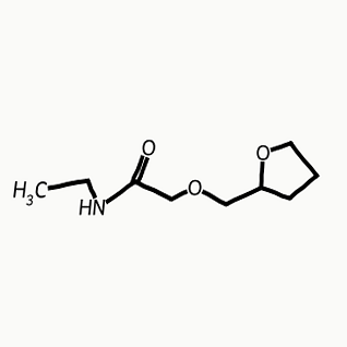 CCNC(=O)COCC1CCCO1